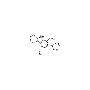 ClCc1c(-c2ccccc2)cc(CCl)c2c1[nH]c1ccccc12